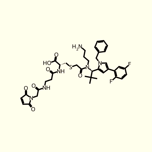 CC(C)(C)[C@H](c1cc(-c2cc(F)ccc2F)cn1Cc1ccccc1)N(CCCN)C(=O)CSC[C@H](NC(=O)CCNC(=O)CN1C(=O)C=CC1=O)C(=O)O